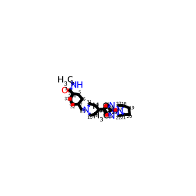 CNC(=O)C12CCC(CN3CCC(c4cnc(N5C6CCC5CN(C(C)C)C6)nc4)CC3)(CC1)CC2